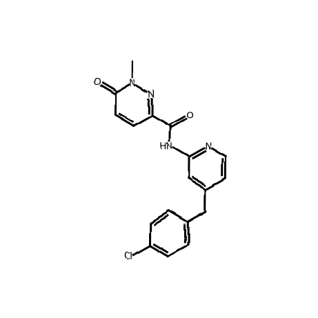 Cn1nc(C(=O)Nc2cc(Cc3ccc(Cl)cc3)ccn2)ccc1=O